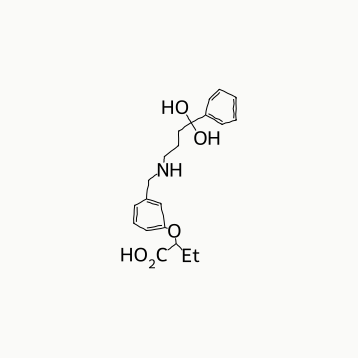 CCC(Oc1cccc(CNCCCC(O)(O)c2ccccc2)c1)C(=O)O